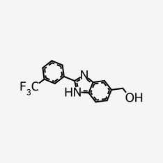 OCc1ccc2[nH]c(-c3cccc(C(F)(F)F)c3)nc2c1